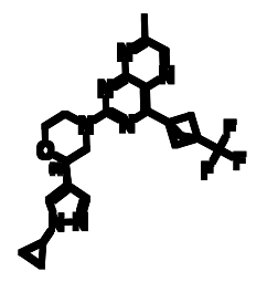 Cc1cnc2c(C34CC(C(F)(F)F)(C3)C4)nc(N3CCO[C@H](c4cnn(C5CC5)c4)C3)nc2n1